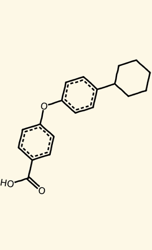 O=C(O)c1ccc(Oc2ccc(C3CCCCC3)cc2)cc1